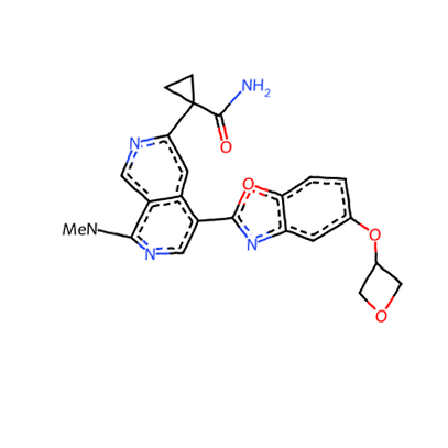 CNc1ncc(-c2nc3cc(OC4COC4)ccc3o2)c2cc(C3(C(N)=O)CC3)ncc12